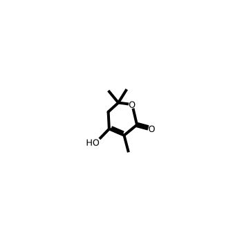 CC1=C(O)CC(C)(C)OC1=O